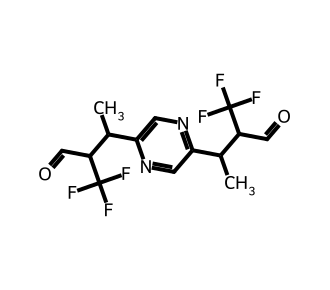 CC(c1cnc(C(C)C(C=O)C(F)(F)F)cn1)C(C=O)C(F)(F)F